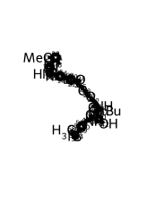 COc1cccc(F)c1-c1ncc2[nH]nc(-c3ccc(N4CCN(C(=O)CCOCCOCCC(=O)N[C@H](C(=O)N5CC(O)C[C@H]5C(=O)NCc5ccc(-c6scnc6C)cc5)C(C)(C)C)CC4)cc3)c2n1